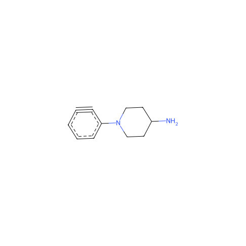 NC1CCN(c2c#cccc2)CC1